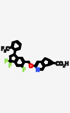 O=C(O)C1C2Cc3cc(OCc4cc5c(cc4F)C(F)(F)CC5c4ccccc4C(F)(F)F)ncc3C21